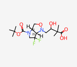 CC(C)(C)OC(=O)N1CC(F)(F)[C@@H]2[C@H]1CON2CC(O)C(C)(C)C(=O)O